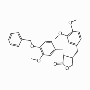 COc1ccc(C[C@H]2COC(=O)[C@@H]2Cc2ccc(OCc3ccccc3)c(OC)c2)cc1OC